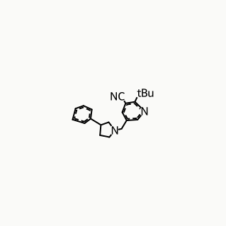 CC(C)(C)c1ncc(CN2CCC(c3ccccc3)C2)cc1C#N